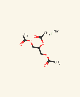 CC(=O)OCC(COC(C)=O)OC(C)=O.[F-].[Na+]